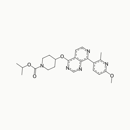 COc1ccc(-c2nccc3c(OC4CCN(C(=O)OC(C)C)CC4)ncnc23)c(C)n1